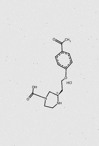 CC(=O)c1ccc(OCC[C@@H]2CN(C(=O)O)CCN2)cc1.Cl